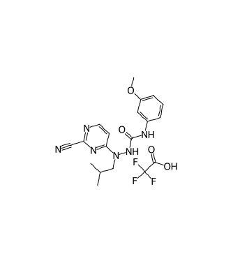 COc1cccc(NC(=O)NN(CC(C)C)c2ccnc(C#N)n2)c1.O=C(O)C(F)(F)F